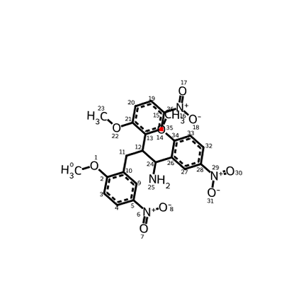 COc1ccc([N+](=O)[O-])cc1CC(c1cc([N+](=O)[O-])ccc1OC)C(N)c1cc([N+](=O)[O-])ccc1OC